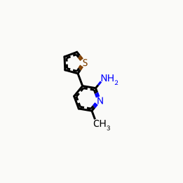 Cc1ccc(-c2cccs2)c(N)n1